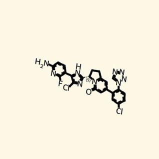 Nc1ccc(-c2[nH]c([C@@H]3CCc4cc(-c5cc(Cl)ccc5-n5cnnn5)cc(=O)n43)nc2Cl)c(F)n1